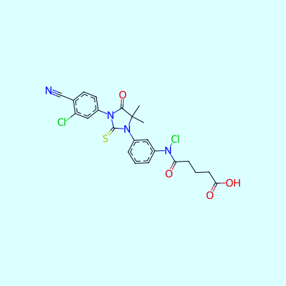 CC1(C)C(=O)N(c2ccc(C#N)c(Cl)c2)C(=S)N1c1cccc(N(Cl)C(=O)CCCC(=O)O)c1